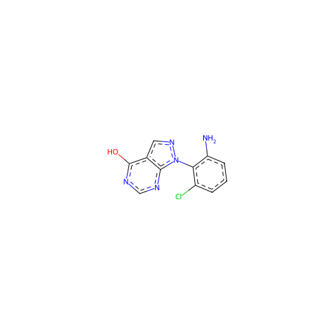 Nc1cccc(Cl)c1-n1ncc2c(O)ncnc21